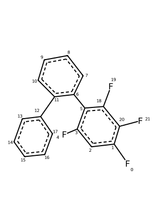 Fc1cc(F)c(-c2ccccc2-c2ccccc2)c(F)c1F